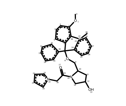 COc1cccc(C(OCC2CC(O)CN2C(=O)Cn2cccc2)(c2ccccc2)c2ccccc2)c1OC